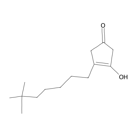 CC(C)(C)CCCCCC1=C(O)CC(=O)C1